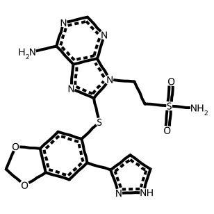 Nc1ncnc2c1nc(Sc1cc3c(cc1-c1cc[nH]n1)OCO3)n2CCS(N)(=O)=O